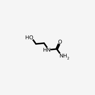 NC(=O)NCCO